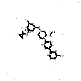 Cc1cc(CN2CCN(c3ncc(-c4cccc(F)c4)cn3)[C@H](CC(C)C)C2)cc(OC2(C(=O)O)CC2)c1